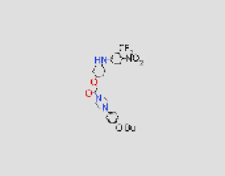 CC(C)COc1ccc(N2CCN(C(=O)COC3CCC(Nc4ccc([N+](=O)[O-])c(C(F)(F)F)c4)CC3)CC2)cc1